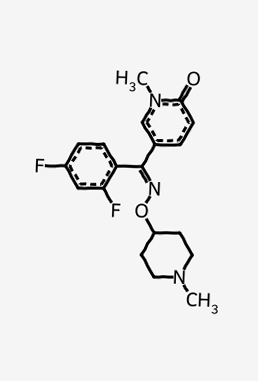 CN1CCC(ON=C(c2ccc(=O)n(C)c2)c2ccc(F)cc2F)CC1